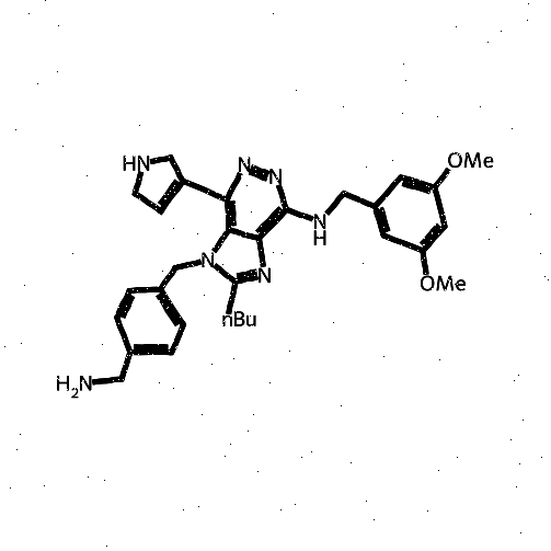 CCCCc1nc2c(NCc3cc(OC)cc(OC)c3)nnc(C3=CCNC3)c2n1Cc1ccc(CN)cc1